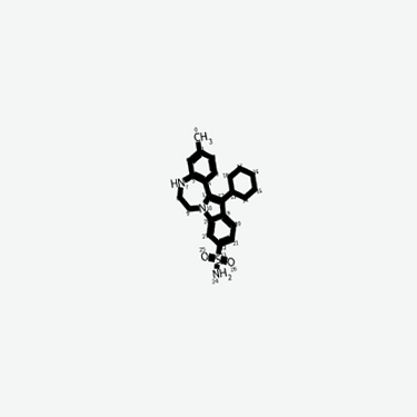 Cc1ccc2c(c1)NCCn1c-2c(C2CCCCC2)c2ccc(S(N)(=O)=O)cc21